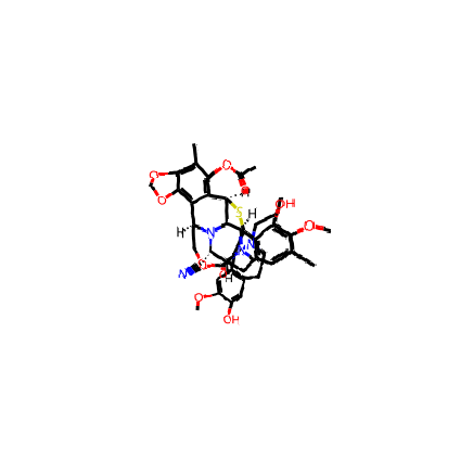 CCCN1CCc2cc(O)c(OC)cc2[C@@]12CS[C@@H]1c3c(OC(C)=O)c(C)c4c(c3[C@H](COC2=O)N2C1[C@H]1c3c(cc(C)c(OC)c3O)C[C@H]([C@@H]2C#N)N1C)OCO4